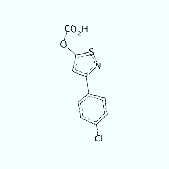 O=C(O)Oc1cc(-c2ccc(Cl)cc2)ns1